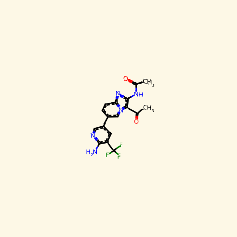 CC(=O)Nc1nc2ccc(-c3cnc(N)c(C(F)(F)F)c3)cn2c1C(C)=O